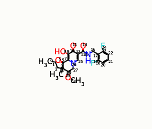 CCC[C@@]1(C)C(=O)c2c(O)c(=O)c(C(=O)NCc3c(F)cccc3F)cn2C[C@@H]1OC